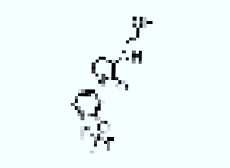 O=C1C(NCCO)CCN1c1cccc(OC(F)(F)F)c1